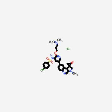 CN(C)CCCOc1ncc(-c2ccc3ncc4c(c3c2)C2(CC2=O)CN4C)cc1NS(=O)(=O)c1ccc(Cl)cc1.Cl